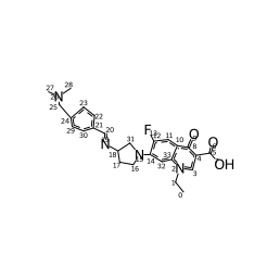 CCn1cc(C(=O)O)c(=O)c2cc(F)c(N3CCC(N=Cc4ccc(CN(C)C)cc4)C3)cc21